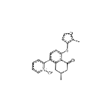 Cc1occc1Sc1ccc(-c2cccc[n+]2[O-])c2c1C(=O)CC(C)C2